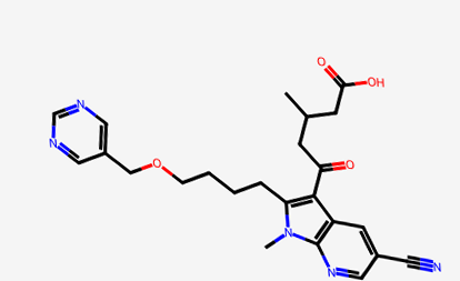 CC(CC(=O)O)CC(=O)c1c(CCCCOCc2cncnc2)n(C)c2ncc(C#N)cc12